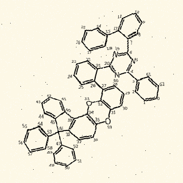 c1ccc(-c2nc(-c3ccccc3-c3ccccc3)nc(-c3ccccc3-c3cccc4c3Oc3c(ccc5c3-c3ccccc3C5(c3ccccc3)c3ccccc3)O4)n2)cc1